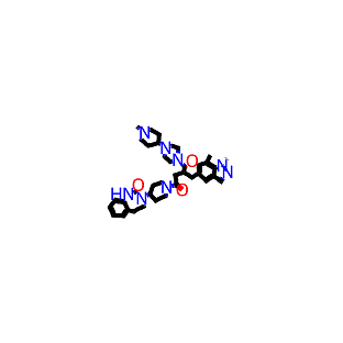 Cc1cc(CC(CC(=O)N2CCC(N3CCc4ccccc4NC3=O)CC2)C(=O)N2CCN(C3CCN(C)CC3)CC2)cc2cnn(C)c12